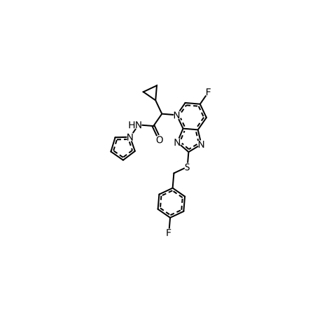 O=C(Nn1cccc1)C(C1CC1)n1cc(F)cc2nc(SCc3ccc(F)cc3)nc1-2